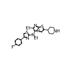 CCc1nc2sc(C3CCNCC3)cn2c1N(CC)c1nc(-c2ccc(F)cc2)cs1